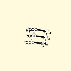 NC(=O)[O-].NC(=O)[O-].NC(=O)[O-].[Ho+3]